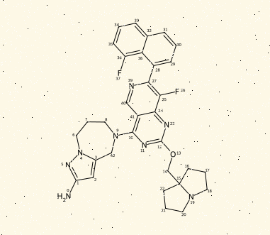 Nc1cc2n(n1)CCCN(c1nc(OCC34CCCN3CCC4)nc3c(F)c(-c4cccc5cccc(F)c45)ncc13)C2